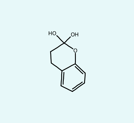 OC1(O)CCc2ccccc2O1